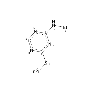 CCCSc1ncnc(NCC)n1